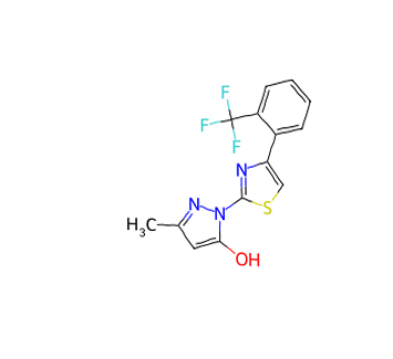 Cc1cc(O)n(-c2nc(-c3ccccc3C(F)(F)F)cs2)n1